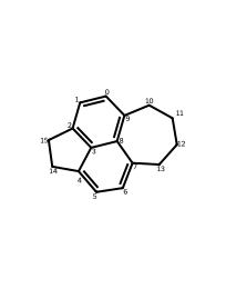 c1cc2c3c(ccc4c3c1CCCC4)CC2